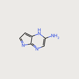 Nc1cnc2nccc-2[nH]1